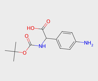 CC(C)(C)OC(=O)NC(C(=O)O)c1ccc(N)cc1